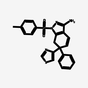 Cc1ccc(S(=O)(=O)n2nc(N)c3c2CC(c2ccccc2)(c2cscn2)C=C3)cc1